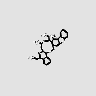 C=CC1=NC2CC(=C)/N=C(/C=C)c3c(cc4oc5ccccc5c4c3C)CCC2c2ccccc21